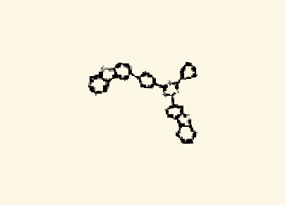 c1ccc(-c2nc(-c3ccc(-c4ccc5sc6ccccc6c5c4)cc3)nc(-c3ccc4c(c3)oc3ccccc34)n2)cc1